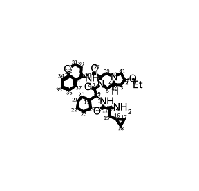 CCO[C@@H]1C[C@@H]2CN(C(=O)[C@@H](NC(=O)[C@@H](N)CC3CC3)C3CCCCC3)[C@H](C(=O)N[C@@H]3CCOc4ccccc43)CN2C1